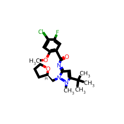 COc1cc(Cl)c(F)cc1C(=O)N=c1cc(C(C)(C)C)n(C)n1C[C@H]1CCCO1